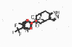 Cc1cnc(C2CC3Cc4[nH]ncc4C(C2)N3S(=O)(=O)c2ccc(C(F)(F)F)nc2)s1